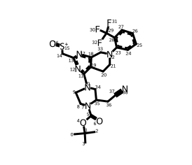 CC(C)(C)OC(=O)N1CCN(c2nc(C[S+]=O)nc3c2CCN(c2ccccc2C(F)(F)F)C3)CC1CC#N